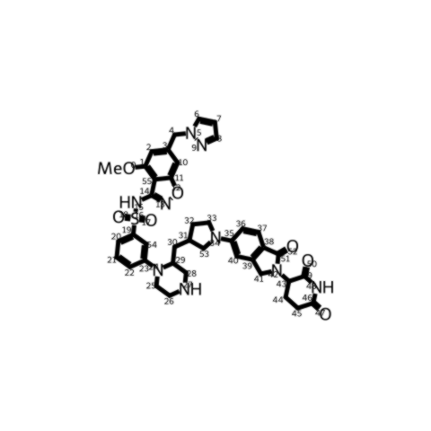 COc1cc(Cn2cccn2)cc2onc(NS(=O)(=O)c3cccc(N4CCNCC4CC4CCN(c5ccc6c(c5)CN(C5CCC(=O)NC5=O)C6=O)C4)c3)c12